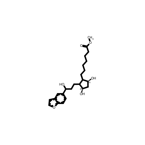 COC(=O)CCCCCCC1C(CCC(O)c2ccc3occc3c2)[C@H](O)C[C@@H]1O